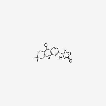 CC1(C)CCc2c(sc3cc(-c4noc(=O)[nH]4)ccc3c2=O)C1